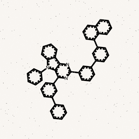 c1ccc(-c2cccc(-c3nc(-c4cccc(-c5cccc(-c6cccc7ccccc67)c5)c4)nc4c5ccccc5n(-c5ccccc5)c34)c2)cc1